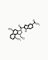 CC(=O)c1ccc2[nH]c(C(=O)N3C[C@@H](CCl)c4c3cc(O)c3cccc(C)c43)cc2c1